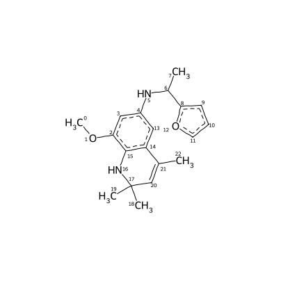 COc1cc(NC(C)c2ccco2)cc2c1NC(C)(C)C=C2C